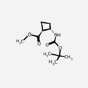 COC(=O)[C@H]1CC[C@@H]1NC(=O)OC(C)(C)C